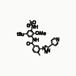 COc1c(NC(=O)c2ccc(C)c(-n3cc(-c4ccncc4)nn3)c2)cc(C(C)(C)C)cc1NS(C)(=O)=O